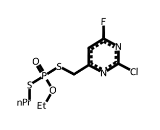 CCCSP(=O)(OCC)SCc1cc(F)nc(Cl)n1